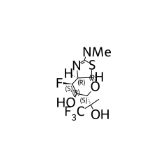 CNC1=N[C@@H]2[C@H](F)[C@H](O)[C@@H](C(C)(O)C(F)(F)F)O[C@@H]2S1